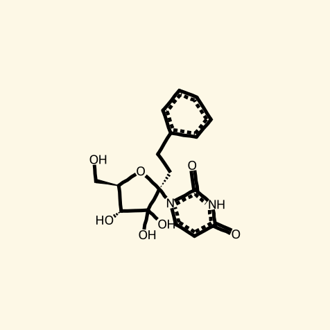 O=c1ccn([C@]2(CCc3ccccc3)O[C@H](CO)[C@@H](O)C2(O)O)c(=O)[nH]1